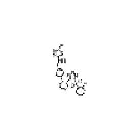 CCc1nnc(NCc2ccc(-c3ccccc3-c3nnnn3S(=O)(=O)c3ccccc3F)cc2)s1